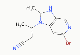 CC(CC#N)N1c2cc(Br)ncc2NC1C